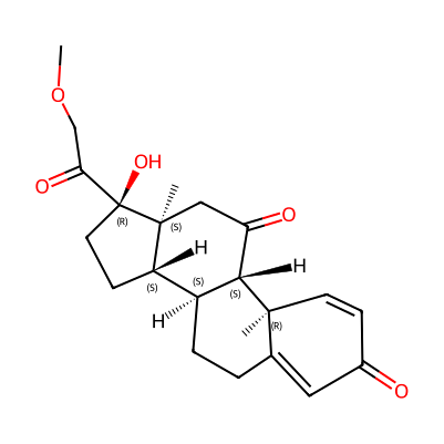 COCC(=O)[C@@]1(O)CC[C@H]2[C@@H]3CCC4=CC(=O)C=C[C@]4(C)[C@H]3C(=O)C[C@@]21C